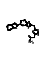 NC(=O)Cc1nnc(Cc2nc3ccc(-c4cc5ccccc5s4)cc3s2)o1